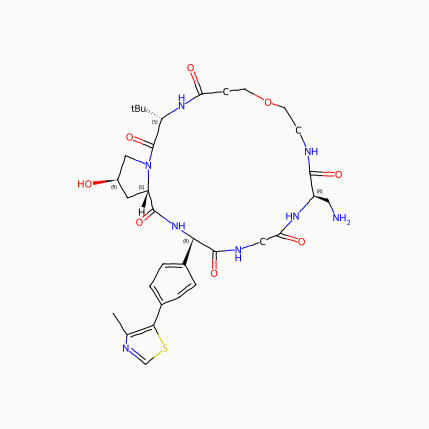 Cc1ncsc1-c1ccc([C@H]2NC(=O)[C@@H]3C[C@@H](O)CN3C(=O)[C@H](C(C)(C)C)NC(=O)CCOCCNC(=O)[C@@H](CN)NC(=O)CNC2=O)cc1